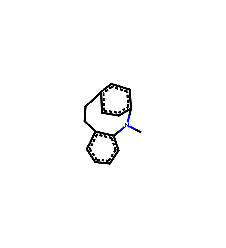 CN1c2ccc(cc2)CCc2ccccc21